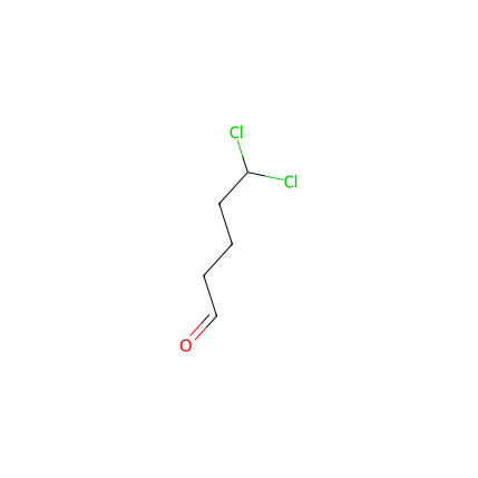 O=CCCCC(Cl)Cl